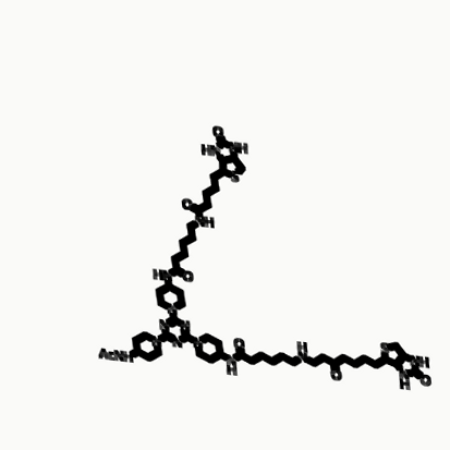 CC(=O)NC1CCN(c2nc(N3CCC(NC(=O)CCCCCNCCC(=O)CCCCC4SCC5NC(=O)NC54)CC3)nc(N3CCC(NC(=O)CCCCCNC(=O)CCCCC4SCC5NC(=O)NC54)CC3)n2)CC1